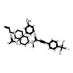 C=CCN1CC[C@@]2(c3cccc(O)c3)C[C@H](N(C)C(=O)C#Cc3ccc(C(F)(F)F)cc3)CC[C@]2(OC(C)=O)C1